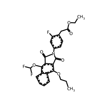 CCCOc1c2c(c(OC(F)F)c3ccccc13)C(=O)N(c1ccc(CC(=O)OCC)c(F)c1)C2=O